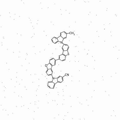 Cc1ccc2c3ccccc3n(-c3ccc4sc5ccc(-c6ccc7oc8ccc(-n9c%10ccccc%10c%10ccc(C#N)cc%109)cc8c7c6)cc5c4c3)c2c1